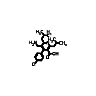 CC(C)Cc1nc(CC(C)C)c(C(=O)O)c(-c2ccc(Cl)cc2)c1CN